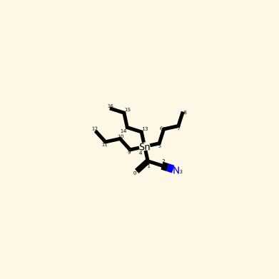 C=[C](C#N)[Sn]([CH2]CCC)([CH2]CCC)[CH2]CCC